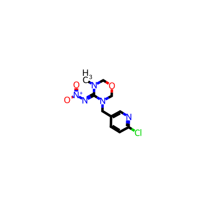 CN1COCN(Cc2ccc(Cl)nc2)C1=N[N+](=O)[O-]